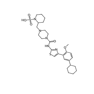 COc1ccc(C2CCCCC2)cc1-c1csc(NC(=O)N2CCN(CC3CCCCN3S(=O)(=O)O)CC2)n1